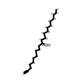 C#CCCCCCCCCC(O)CCCCCCCCCCC